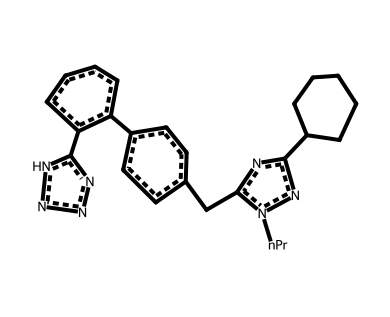 CCCn1nc(C2CCCCC2)nc1Cc1ccc(-c2ccccc2-c2nnn[nH]2)cc1